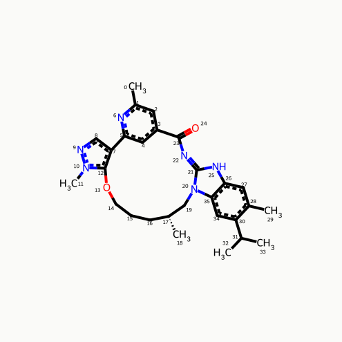 Cc1cc2cc(n1)-c1cnn(C)c1OCCC[C@@H](C)CN1/C(=N/C2=O)Nc2cc(C)c(C(C)C)cc21